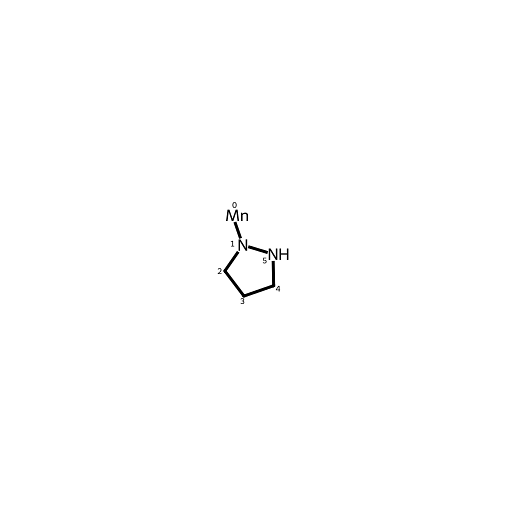 [Mn][N]1CCCN1